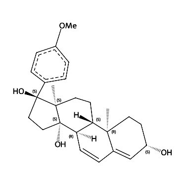 COc1ccc([C@@]2(O)CC[C@]3(O)[C@@H]4C=CC5=C[C@@H](O)CC[C@]5(C)[C@H]4CC[C@]23C)cc1